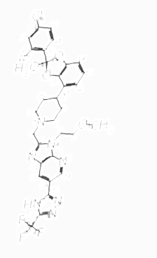 COCCn1c(CN2CCC(c3cccc4c3OC(C)(c3ccc(Cl)cc3F)O4)CC2)nc2cc(-c3nnc(C(F)(F)F)[nH]3)cnc21